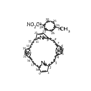 C1=Cc2cc3ccc(cc4nc(cc5ccc(cc1n2)[nH]5)C=C4)[nH]3.Cc1ccc(C(=O)O)cc1